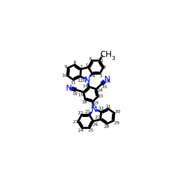 Cc1ccc2c(c1)c1ccccc1n2-c1c(C#N)cc(-n2c3ccccc3c3ccccc32)cc1C#N